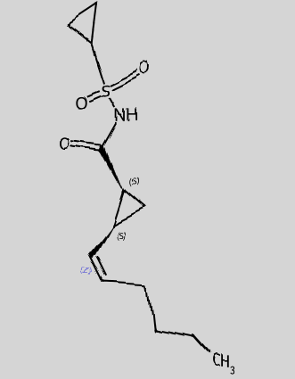 CCCC/C=C\[C@@H]1C[C@@H]1C(=O)NS(=O)(=O)C1CC1